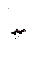 CC1(C)c2ccccc2-c2ccc(N(c3ccccc3)c3ccc(-c4ccccc4-n4c5ccccc5c5cc(-c6cc7ccccc7c7ccccc67)ccc54)cc3)cc21